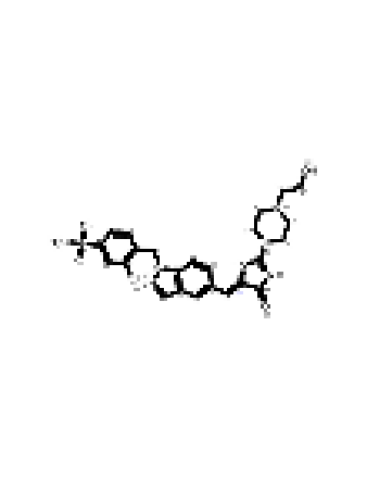 CS(=O)(=O)c1ccc(Cn2ncc3cc(/C=C4\SC(N5CCN(CCO)CC5)=NC4=O)ccc32)c(C(F)(F)F)c1